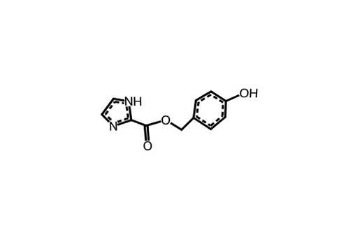 O=C(OCc1ccc(O)cc1)c1ncc[nH]1